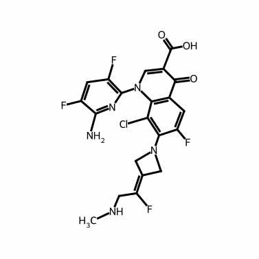 CNCC(F)=C1CN(c2c(F)cc3c(=O)c(C(=O)O)cn(-c4nc(N)c(F)cc4F)c3c2Cl)C1